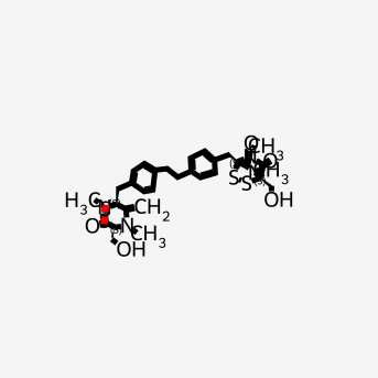 C=C1N(C)[C@@]2(CO)SS[C@]1(Cc1ccc(CCc3ccc(C[C@@]45SS[C@@](CO)(C(=O)N4C)N(C)C5=O)cc3)cc1)N(C)C2=O